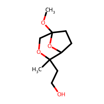 COC12CCC(O1)C(C)(CCO)OC2